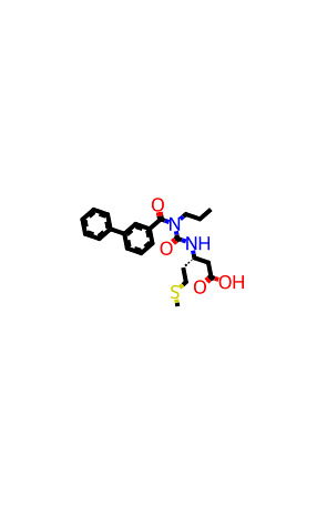 CCCN(C(=O)N[C@@H](CCSC)CC(=O)O)C(=O)c1cccc(-c2ccccc2)c1